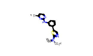 CC(C)(C)N(C(=O)O)c1ncc(-c2cccc(Nc3nccc(C(F)(F)F)n3)c2)s1